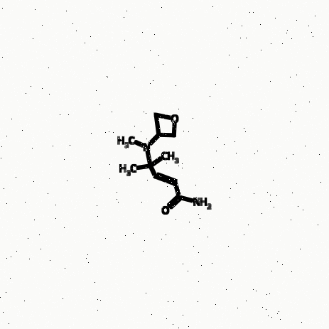 CN(C1COC1)C(C)(C)C=CC(N)=O